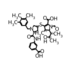 Cc1cc(CN2C[C@@H](SC3=C(C(=O)O)N(C=O)C([C@H](C)[C@@H](C)O)[C@H]3C)C[C@H]2C(=O)Nc2cccc(C(=O)O)c2)cc(C)c1C